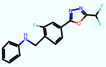 Fc1cc(-c2nnc(C(F)F)o2)ccc1CNc1ccccc1